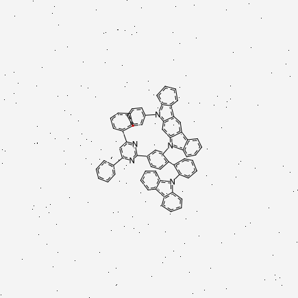 c1ccc(-c2cc(-c3ccccc3)nc(-c3ccc(-c4ccccc4-n4c5ccccc5c5ccccc54)c(-n4c5ccccc5c5cc6c7ccccc7n(-c7ccccc7)c6cc54)c3)n2)cc1